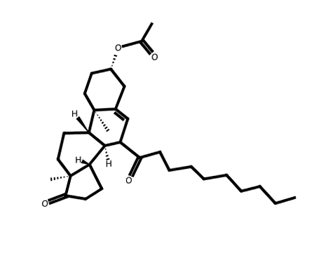 CCCCCCCCCC(=O)C1C=C2C[C@@H](OC(C)=O)CC[C@]2(C)[C@H]2CC[C@]3(C)C(=O)CC[C@H]3[C@H]12